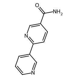 NC(=O)c1ccc(-c2cccnc2)nc1